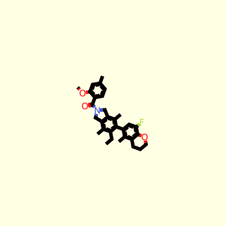 CCc1c(C)c2c(c(C)c1-c1cc(F)c3c(c1C)CCCO3)CN(C(=O)c1ccc(C)cc1OC)C2